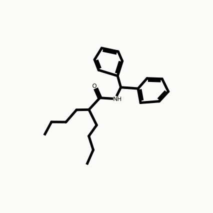 CCCCC(CCCC)C(=O)NC(c1ccccc1)c1ccccc1